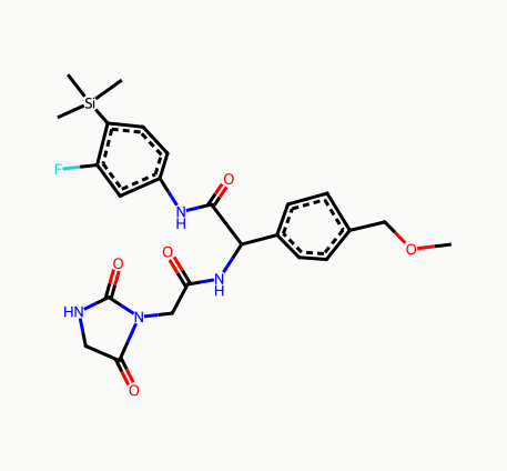 COCc1ccc(C(NC(=O)CN2C(=O)CNC2=O)C(=O)Nc2ccc([Si](C)(C)C)c(F)c2)cc1